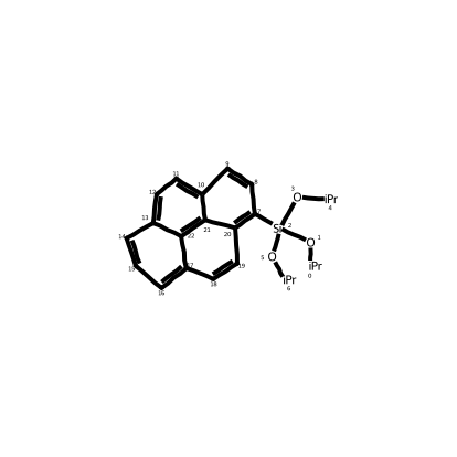 CC(C)O[Si](OC(C)C)(OC(C)C)c1ccc2ccc3cccc4ccc1c2c34